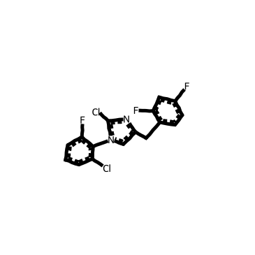 Fc1ccc(Cc2cn(-c3c(F)cccc3Cl)c(Cl)n2)c(F)c1